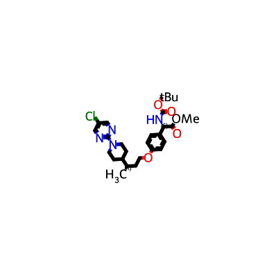 COC(=O)[C@@H](NC(=O)OC(C)(C)C)c1ccc(OCC[C@@H](C)C2CCN(c3ncc(Cl)cn3)CC2)cc1